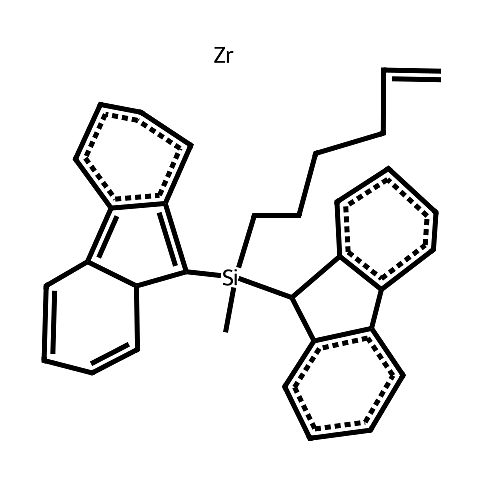 C=CCCCC[Si](C)(C1=c2ccccc2=C2C=CC=CC21)C1c2ccccc2-c2ccccc21.[Zr]